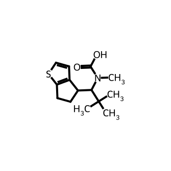 CN(C(=O)O)C(C1CCc2sccc21)C(C)(C)C